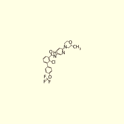 CC1CN(c2ccc(NC(=O)c3cccc(-c4ccc(OC(F)(F)F)cc4)c3Cl)cn2)CCO1